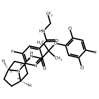 CC(C)(Oc1cc(Cl)c(F)cc1Cl)C(=O)N[C@H]1C[C@H]2CC[C@@H](C1)N2c1ncc(C(=O)NCC(F)(F)F)cc1F